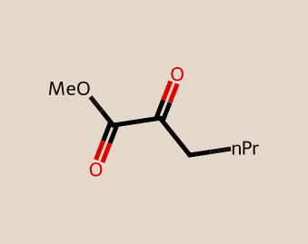 CCCCC(=O)C(=O)OC